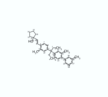 CCC(CC)(c1ccc(/C=C/C2(O)CCCC2)c(C)c1)c1ccc(-c2cncc(C)c2)c(C)c1